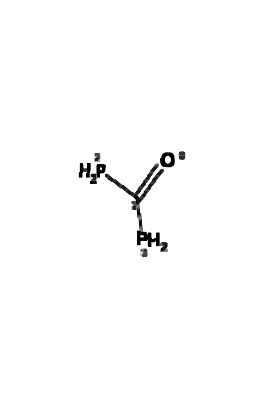 O=C(P)P